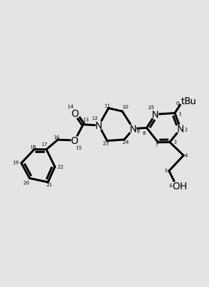 CC(C)(C)c1nc(CCO)cc(N2CCN(C(=O)OCc3ccccc3)CC2)n1